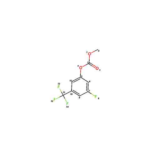 COC(=O)Oc1cc(F)cc(C(F)(F)F)c1